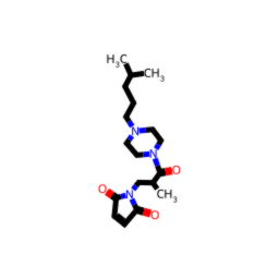 CC(C)CCCN1CCN(C(=O)C(C)CN2C(=O)C=CC2=O)CC1